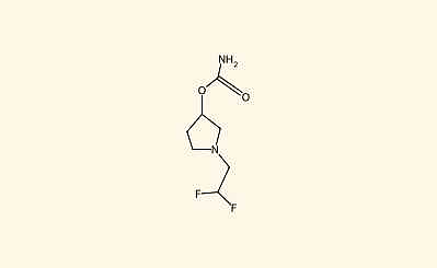 NC(=O)OC1CCN(CC(F)F)C1